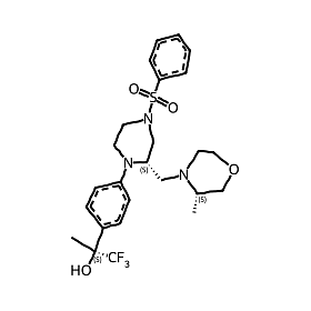 C[C@H]1COCCN1C[C@H]1CN(S(=O)(=O)c2ccccc2)CCN1c1ccc([C@](C)(O)C(F)(F)F)cc1